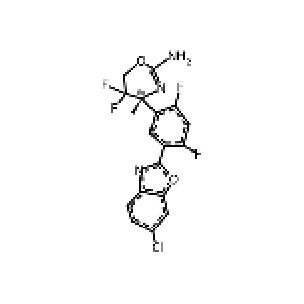 C[C@]1(c2cc(-c3nc4ccc(Cl)cc4o3)c(F)cc2F)N=C(N)OCC1(F)F